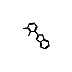 Cc1cccc(C2=Cc3ccccc3[CH]2)c1C